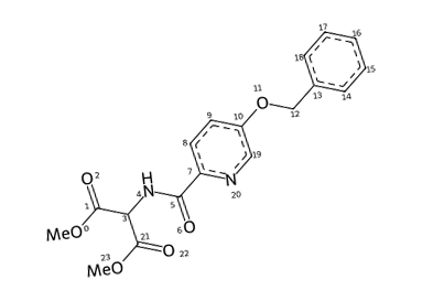 COC(=O)C(NC(=O)c1ccc(OCc2ccccc2)cn1)C(=O)OC